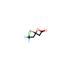 O=C1CC(Br)(CC(F)(F)Cl)O1